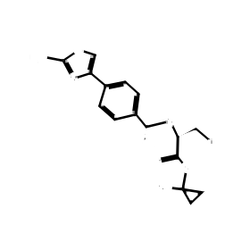 Cc1nc(-c2ccc([C@H](N[C@@H](CC(C)C)C(=O)NC3(C#N)CC3)C(F)(F)F)cc2)co1